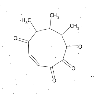 CC1C(=O)C=CC(=O)C(=O)C(=O)C(C)C1C